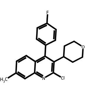 Cc1ccc2c(-c3ccc(F)cc3)c(C3CCOCC3)c(Cl)nc2c1